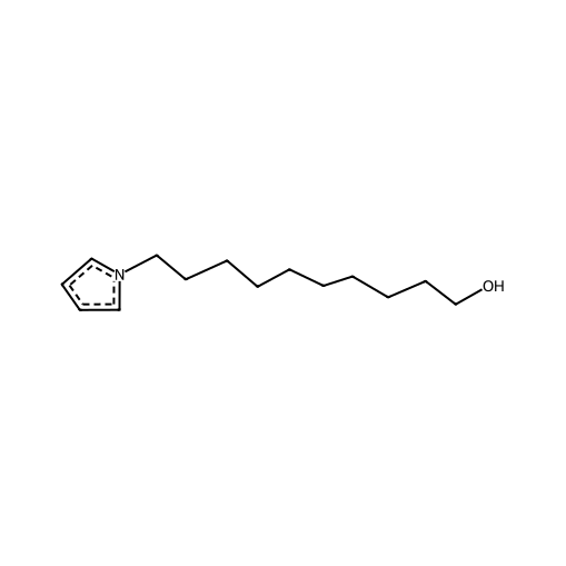 OCCCCCCCCCCn1cccc1